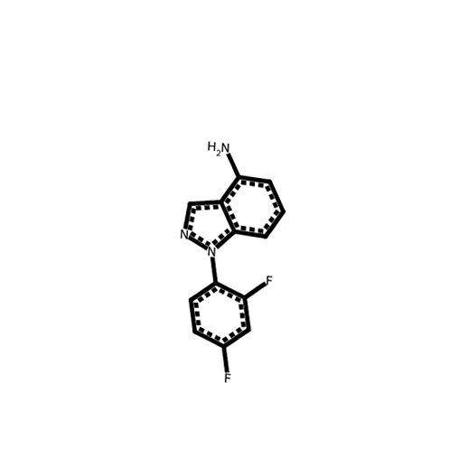 Nc1cccc2c1cnn2-c1ccc(F)cc1F